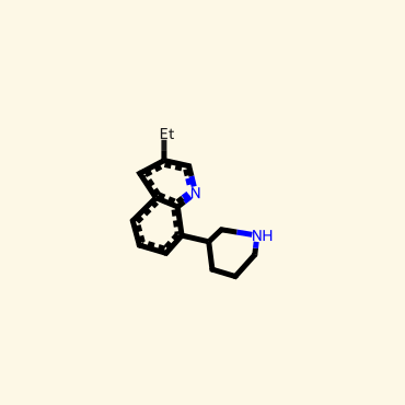 CCc1cnc2c(C3CCCNC3)cccc2c1